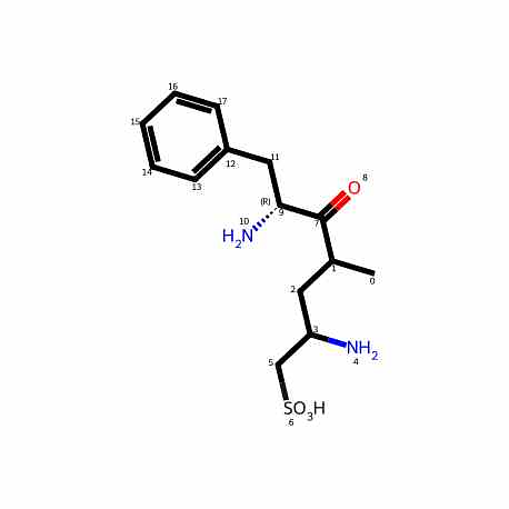 CC(CC(N)CS(=O)(=O)O)C(=O)[C@H](N)Cc1ccccc1